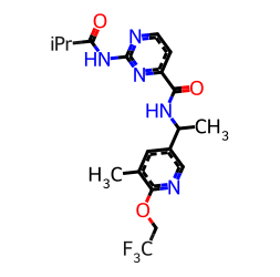 Cc1cc(C(C)NC(=O)c2ccnc(NC(=O)C(C)C)n2)cnc1OCC(F)(F)F